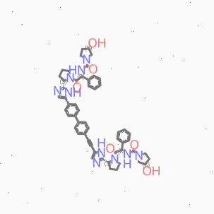 O=C(N[C@@H](C(=O)N1CCC[C@H]1c1ncc(C#Cc2ccc(-c3ccc(-c4cnc([C@@H]5CCCN5C(=O)[C@H](NC(=O)N5CC[C@H](O)C5)c5ccccc5)[nH]4)cc3)cc2)[nH]1)c1ccccc1)N1CC[C@H](O)C1